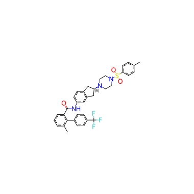 Cc1ccc(S(=O)(=O)N2CCN([C@@H]3Cc4ccc(NC(=O)c5cccc(C)c5-c5ccc(C(F)(F)F)cc5)cc4C3)CC2)cc1